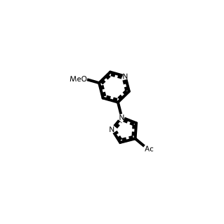 COc1cncc(-n2cc(C(C)=O)cn2)c1